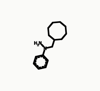 NN(CC1CCCCCCC1)c1ccccc1